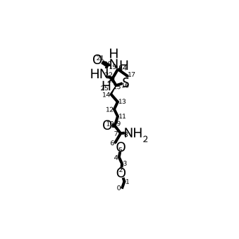 CCOCCOCC(N)C(=O)CCCC[C@@H]1SC[C@@H]2NC(=O)N[C@@H]21